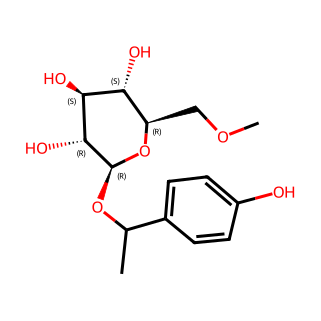 COC[C@H]1O[C@@H](OC(C)c2ccc(O)cc2)[C@H](O)[C@@H](O)[C@@H]1O